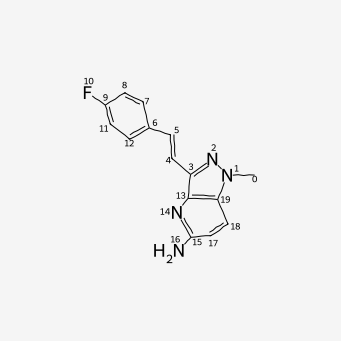 Cn1nc(/C=C/c2ccc(F)cc2)c2nc(N)ccc21